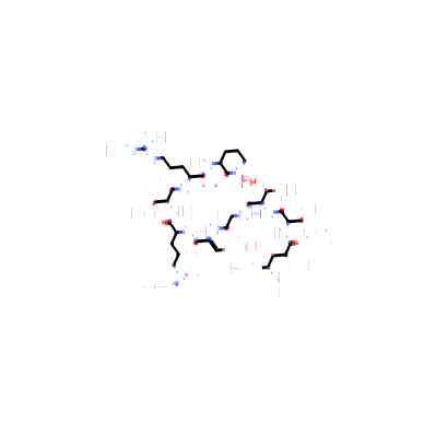 C/C=C(\NC(=O)CNC(=O)C(NC(=O)C(NC(=O)C(C)C(O)C(C)N)C(O)C(=O)O)C(C)O)C(=O)NC(CCCN(O)C=O)C(=O)NC(CO)C(=O)NC(CCCN=C(N)N)C(=O)NC1CCCN(O)C1=O